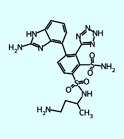 CC(CCN)NS(=O)(=O)c1ccc(-c2cccc3[nH]c(N)nc23)c(-c2nn[nH]n2)c1S(N)(=O)=O